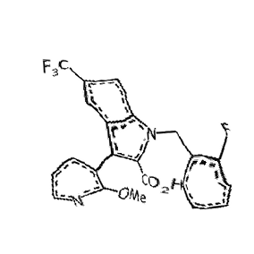 COc1ncccc1-c1c(C(=O)O)n(Cc2ccccc2F)c2ccc(C(F)(F)F)cc12